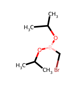 CC(C)OB(CBr)OC(C)C